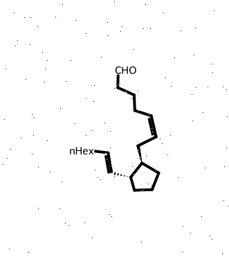 CCCCCC/C=C/[C@H]1CCC[C@@H]1C/C=C\CCCC=O